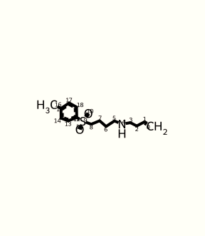 C=CCCNCCCCS(=O)(=O)c1ccc(C)cc1